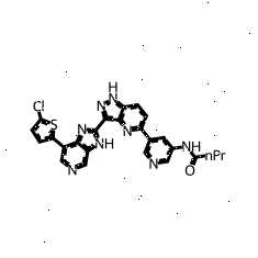 CCCC(=O)Nc1cncc(-c2ccc3[nH]nc(-c4nc5c(-c6ccc(Cl)s6)cncc5[nH]4)c3n2)c1